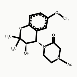 CC(=O)N1CCN([C@H]2c3cc(OC(F)(F)F)ccc3OC(C)(C)[C@@H]2O)C(=O)C1